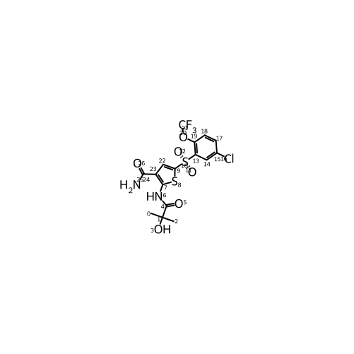 CC(C)(O)C(=O)Nc1sc(S(=O)(=O)c2cc(Cl)ccc2OC(F)(F)F)cc1C(N)=O